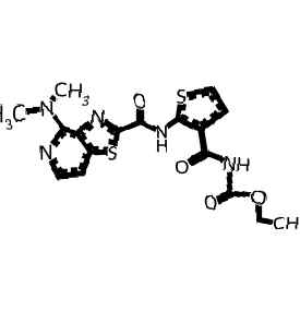 CCOC(=O)NC(=O)c1ccsc1NC(=O)c1nc2c(N(C)C)nccc2s1